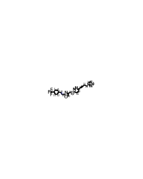 FC(F)(F)c1ccc(/C=C/c2nc(COc3ccc(C#CCCn4ccnn4)nn3)co2)cc1